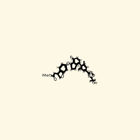 COC(=O)CC1COc2cc(O[C@@H]3CCc4c(-c5c(C)cc(-c6noc(C(C)(C)O)n6)cc5C)ccc(F)c43)ccc21